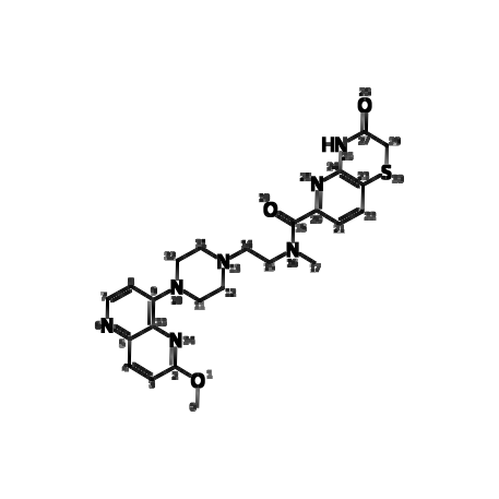 COc1ccc2nccc(N3CCN(CCN(C)C(=O)c4ccc5c(n4)NC(=O)CS5)CC3)c2n1